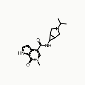 CC(C)N1CC2C(C1)C2NC(=O)c1cn(C)c(=O)c2[nH]ccc12